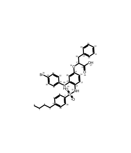 CCCCc1ccc(S(=O)(=O)Nc2ccc(OC(Cc3ccccc3)C(=O)O)cc2Nc2ccc(Br)cc2)cc1